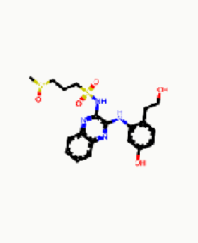 C[S+]([O-])CCCS(=O)(=O)Nc1nc2ccccc2nc1Nc1cc(O)ccc1CCO